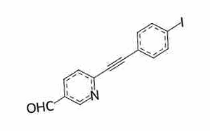 O=Cc1ccc(C#Cc2ccc(I)cc2)nc1